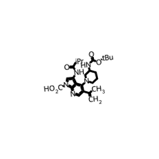 C=C(C)c1cnc2c(c(NC(=O)C(C)C)cn2C(=O)O)c1N1CCCC(NC(=O)OC(C)(C)C)C1